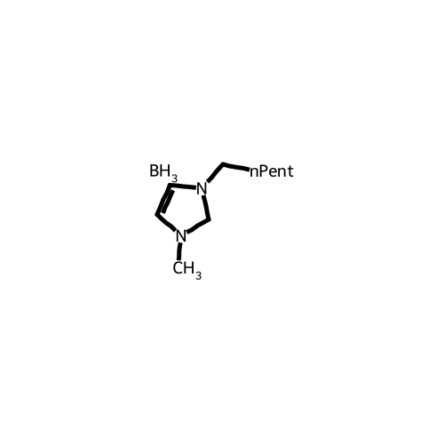 B.CCCCCCN1C=CN(C)C1